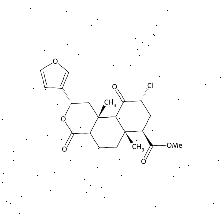 COC(=O)[C@@H]1C[C@@H](Cl)C(=O)C2[C@@]3(C)C[C@@H](c4ccoc4)OC(=O)C3CC[C@]21C